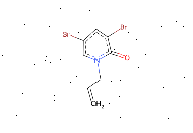 C=CCn1cc(Br)cc(Br)c1=O